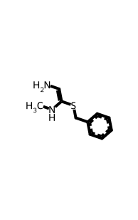 CN/C(=C\N)SCc1ccccc1